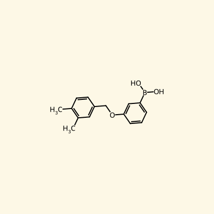 Cc1ccc(COc2cccc(B(O)O)c2)cc1C